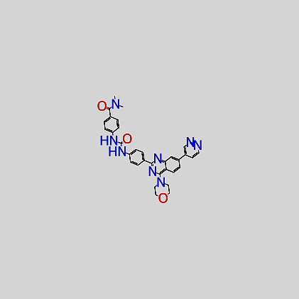 CN(C)C(=O)c1ccc(NC(=O)Nc2ccc(-c3nc(N4CCOCC4)c4ccc(-c5ccnnc5)cc4n3)cc2)cc1